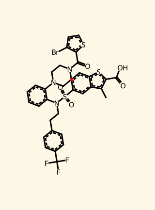 Cc1c(C(=O)O)sc2ccc(S(=O)(=O)N(CCc3ccc(C(F)(F)F)cc3)c3ccccc3N3CCN(C(=O)c4sccc4Br)CC3)cc12